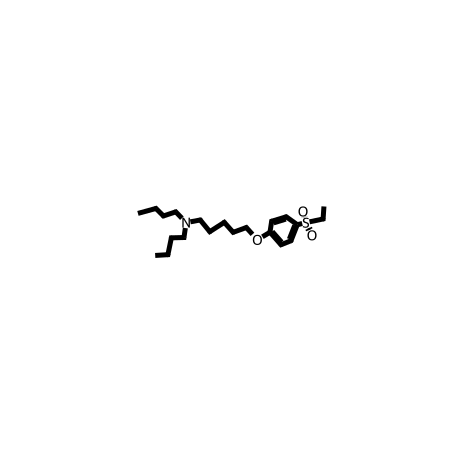 CCCCN(CCCC)CCCCCOc1ccc(S(=O)(=O)CC)cc1